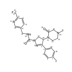 Cc1ccc(C2=NN(C(=O)NCc3ccc(C(F)(F)F)nc3)CC2N2CCN(C)CC2=O)cc1